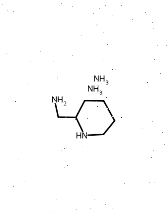 N.N.NCC1CCCCN1